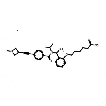 BC(c1ccccc1OCCCCCC(=O)O)N(C(=O)c1ccc(C#CC2CN(C)C2)cc1)C(C)C